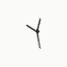 CCCCCCCCCCCCCCCCCC[n+]1ccn(CCCCCCCCCCCCC)c1CCCCCCCCCCCCC